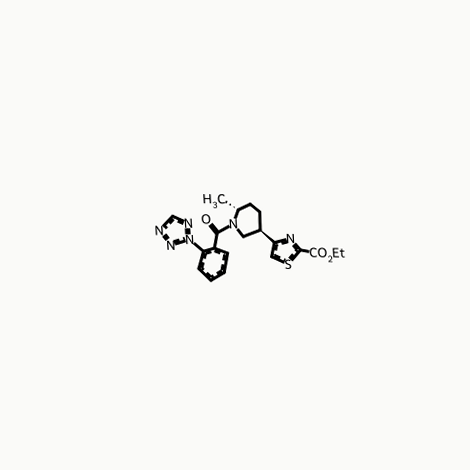 CCOC(=O)c1nc([C@@H]2CC[C@@H](C)N(C(=O)c3ccccc3-n3ncnn3)C2)cs1